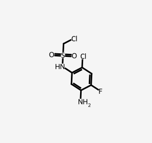 Nc1cc(NS(=O)(=O)CCl)c(Cl)cc1F